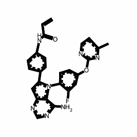 C=CC(=O)Nc1ccc(-c2cc3ncnc(N)c3n2-c2ccc(Oc3nccc(C)n3)cc2F)cc1